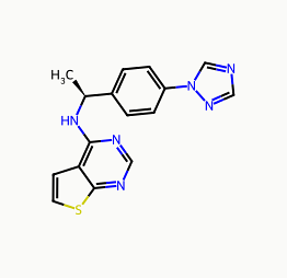 C[C@H](Nc1ncnc2sccc12)c1ccc(-n2cncn2)cc1